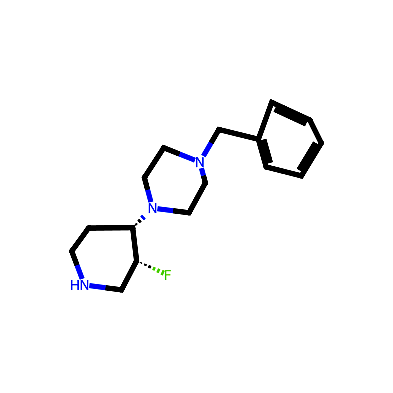 F[C@@H]1CNCC[C@@H]1N1CCN(Cc2ccccc2)CC1